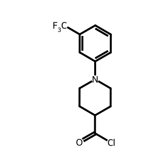 O=C(Cl)C1CCN(c2cccc(C(F)(F)F)c2)CC1